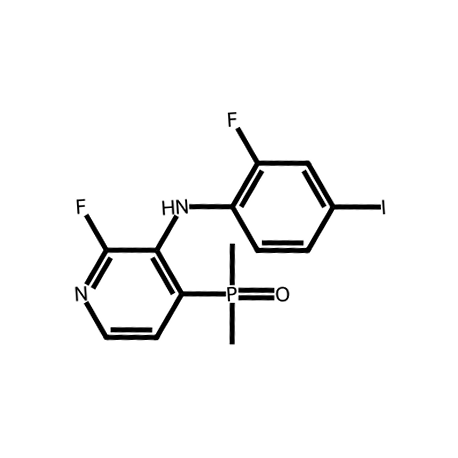 CP(C)(=O)c1ccnc(F)c1Nc1ccc(I)cc1F